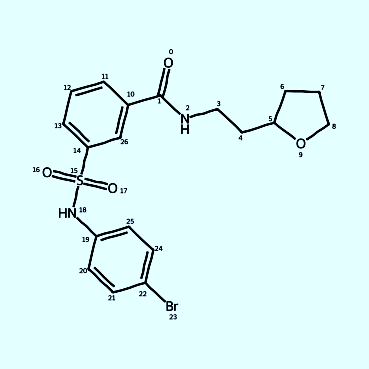 O=C(NCCC1CCCO1)c1cccc(S(=O)(=O)Nc2ccc(Br)cc2)c1